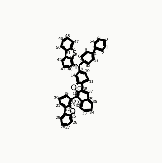 c1ccc(-c2ccc(N(c3ccc4c(c3)oc3c(-c5cccc6c5oc5ccccc56)c5ccccc5cc34)c3cccc4c3sc3ccccc34)cc2)cc1